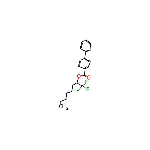 CCCCCCC(OC(=O)c1ccc(-c2ccccc2)cc1)C(F)(F)F